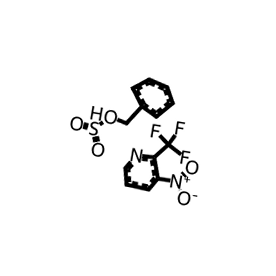 O=[N+]([O-])c1cccnc1C(F)(F)F.O=[SH](=O)OCc1ccccc1